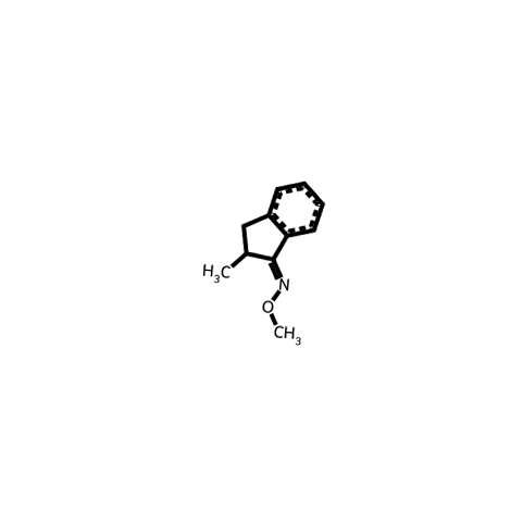 CO/N=C1/c2ccccc2CC1C